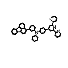 c1ccc(N(c2ccc(-c3cc(-c4ccccn4)nc(-c4ccccn4)c3)cc2)c2cccc(-c3ccc4c5c(cccc35)-c3ccccc3-4)c2)cc1